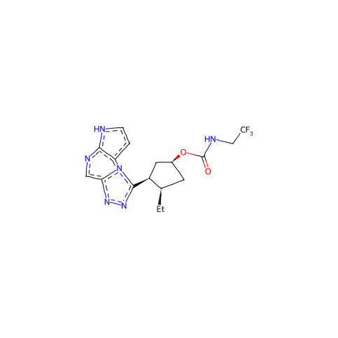 CC[C@@H]1C[C@H](OC(=O)NCC(F)(F)F)C[C@@H]1c1nnc2cnc3[nH]ccc3n12